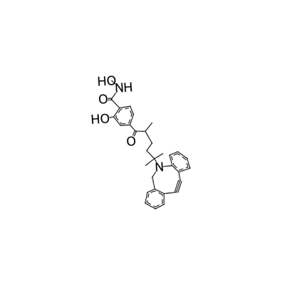 CC(CCC(C)(C)N1Cc2ccccc2C#Cc2ccccc21)C(=O)c1ccc(C(=O)NO)c(O)c1